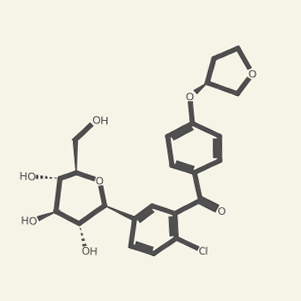 O=C(c1ccc(O[C@H]2CCOC2)cc1)c1cc([C@@H]2O[C@H](CO)[C@@H](O)[C@H](O)[C@H]2O)ccc1Cl